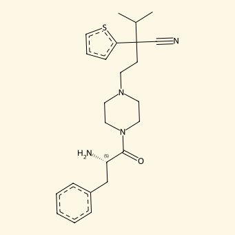 CC(C)C(C#N)(CCN1CCN(C(=O)[C@@H](N)Cc2ccccc2)CC1)c1cccs1